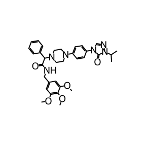 COc1cc(CNC(=O)C(c2ccccc2)N2CCN(c3ccc(-n4cnn(C(C)C)c4=O)cc3)CC2)cc(OC)c1OC